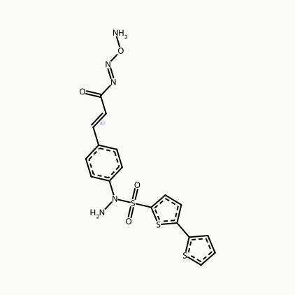 NON=NC(=O)/C=C/c1ccc(N(N)S(=O)(=O)c2ccc(-c3cccs3)s2)cc1